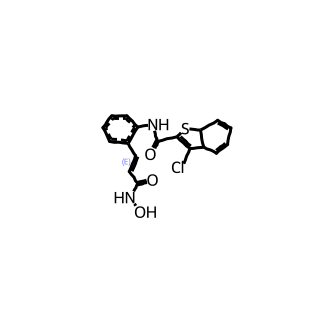 O=C(/C=C/c1ccccc1NC(=O)C1=C(Cl)C2C=CC=CC2S1)NO